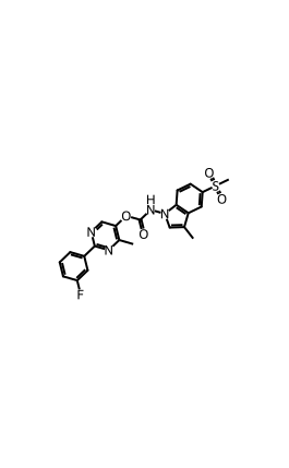 Cc1nc(-c2cccc(F)c2)ncc1OC(=O)Nn1cc(C)c2cc(S(C)(=O)=O)ccc21